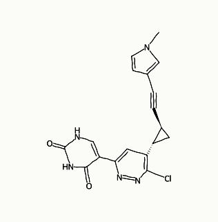 Cn1ccc(C#C[C@H]2C[C@@H]2c2cc(-c3c[nH]c(=O)[nH]c3=O)nnc2Cl)c1